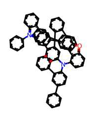 c1ccc(-c2ccc(N(c3ccc4c(c3)C3(c5ccccc5-c5ccccc53)c3ccccc3-4)c3cccc4oc5ccc(-c6ccc7c(c6)c6ccccc6n7-c6ccccc6)cc5c34)c(-c3ccccc3)c2)cc1